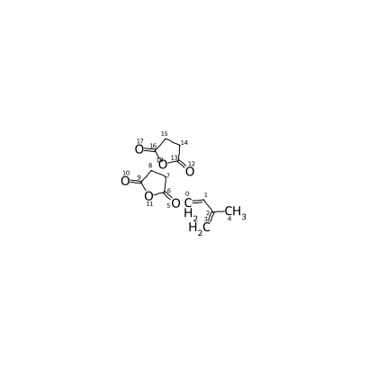 C=CC(=C)C.O=C1CCC(=O)O1.O=C1CCC(=O)O1